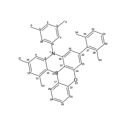 Cc1cc(C)cc(N2c3cc(C)cc(C)c3B3c4ccccc4Oc4cc(-c5c(C)cccc5C)cc2c43)c1